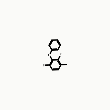 Cc1ccc(F)c(Oc2ccccc2)c1F